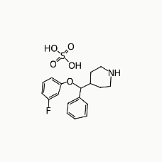 Fc1cccc(OC(c2ccccc2)C2CCNCC2)c1.O=S(=O)(O)O